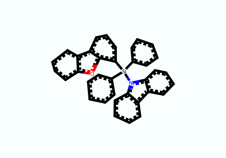 c1ccc([Si](c2ccccc2)(c2cccc3c2oc2ccccc23)n2c3ccccc3c3ccccc32)cc1